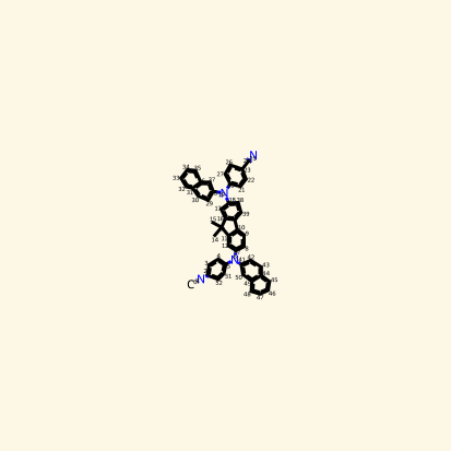 [C-]#[N+]c1ccc(N(c2ccc3c(c2)C(C)(C)c2cc(N(c4ccc(C#N)cc4)c4ccc5ccccc5c4)ccc2-3)c2ccc3ccccc3c2)cc1